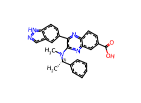 C[C@@H](c1ccccc1)N(C)c1nc2cc(C(=O)O)ccc2nc1-c1ccc2[nH]ncc2c1